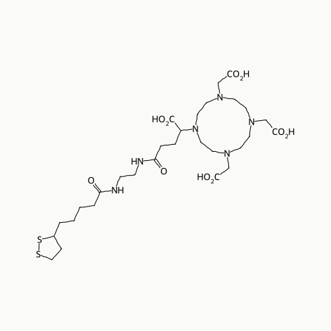 O=C(O)CN1CCN(CC(=O)O)CCN(C(CCC(=O)NCCNC(=O)CCCCC2CCSS2)C(=O)O)CCN(CC(=O)O)CC1